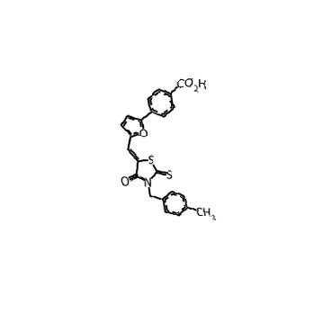 Cc1ccc(CN2C(=O)C(=Cc3ccc(-c4ccc(C(=O)O)cc4)o3)SC2=S)cc1